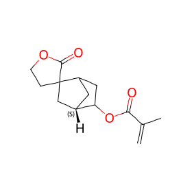 C=C(C)C(=O)OC1CC2C[C@H]1CC21CCOC1=O